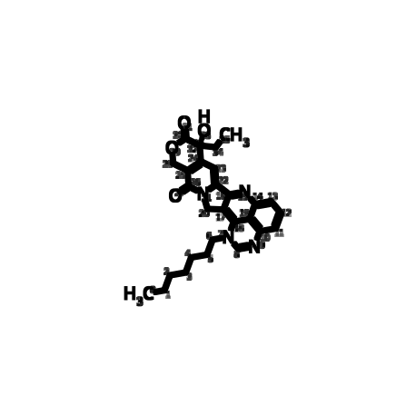 CCCCCCCN1C=Nc2cccc3nc4c(c1c23)Cn1c-4cc2c(c1=O)COC(=O)[C@]2(O)CC